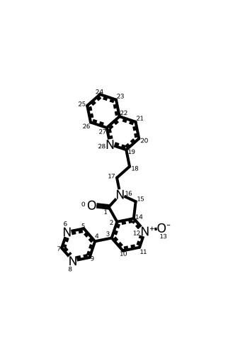 O=C1c2c(-c3cncnc3)cc[n+]([O-])c2CN1CCc1ccc2ccccc2n1